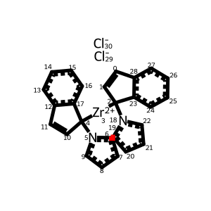 C1=C[C]([Zr+2][C]2(n3cccc3)C=Cc3ccccc32)(n2cccc2)c2ccccc21.[Cl-].[Cl-]